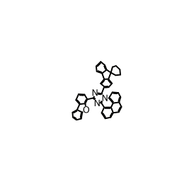 c1ccc2c(c1)-c1cc(-c3nc(-c4cccc5c4oc4ccccc45)nc(-c4cccc5ccc6ccccc6c45)n3)ccc1C21CCCCC1